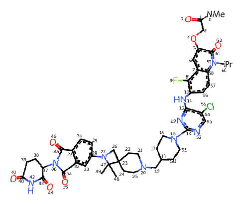 CNC(=O)COc1cc2c(F)c(Nc3nc(N4CCC(CN5CCC6(CC5)CN(c5ccc7c(c5)C(=O)N(C5CCC(=O)NC5=O)C7=O)C6(C)C)CC4)ncc3Cl)ccc2n(C(C)C)c1=O